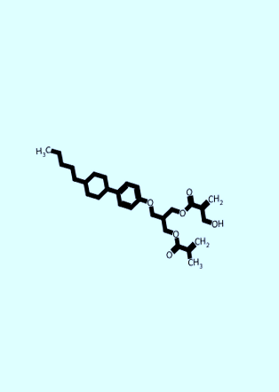 C=C(C)C(=O)OCC(COC(=O)C(=C)CO)COc1ccc(C2CCC(CCCCC)CC2)cc1